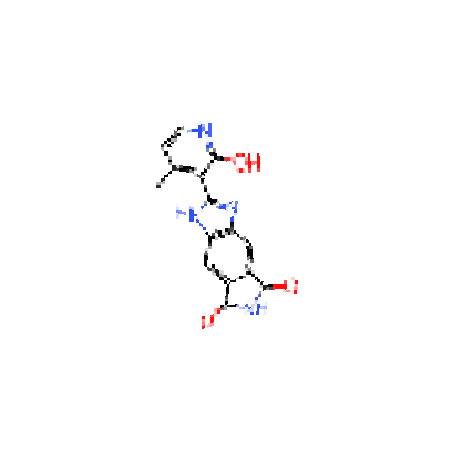 Cc1ccnc(O)c1-c1nc2cc3c(cc2[nH]1)C(=O)NC3=O